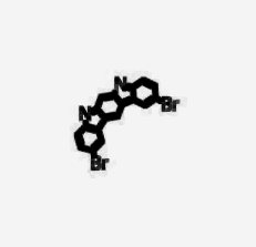 Brc1ccc2c(c1)-c1cc3c(cc1=N2)N=c1ccc(Br)cc1=3